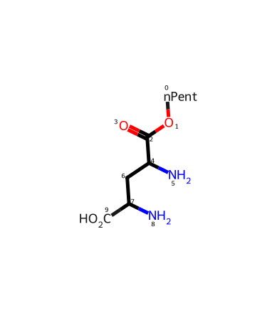 CCCCCOC(=O)C(N)CC(N)C(=O)O